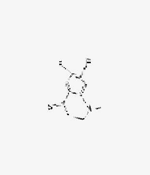 Cn1ccc(=S)c2cc(F)c(F)cc21